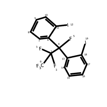 FC(F)(F)C(F)(F)C(F)(c1ccccc1I)c1ccccc1I